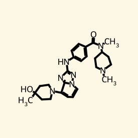 CN1CCC(N(C)C(=O)c2ccc(Nc3nc4c(N5CCC(C)(O)CC5)cccn4n3)cc2)CC1